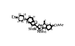 C=C1c2cc(OC)ccc2CN1C[C@@](NC)(C(=O)NC)c1cc2nc(N3CCN(CC)CC3)ccc2o1